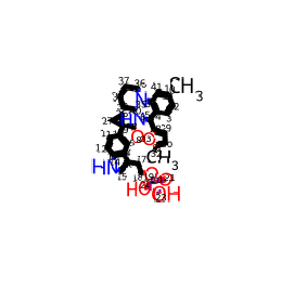 Cc1ccc(C(NC(=O)C2(c3ccc4[nH]cc(CCOP(=O)(O)O)c4c3)CC2)c2ccc(C)o2)c(N2CCCCC2)c1